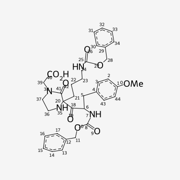 COc1ccc(CC(NC(=O)OCc2ccccc2)C(=O)C2(CCCNC(=O)OCc3ccccc3)NCCN(CC(=O)O)C2=O)cc1